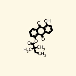 CCC(C)(C)C(=O)Oc1cccc2c1C(=O)c1cccc(O)c1C2=O